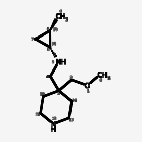 COCC1(CN[C@@H]2C[C@H]2C)CCNCC1